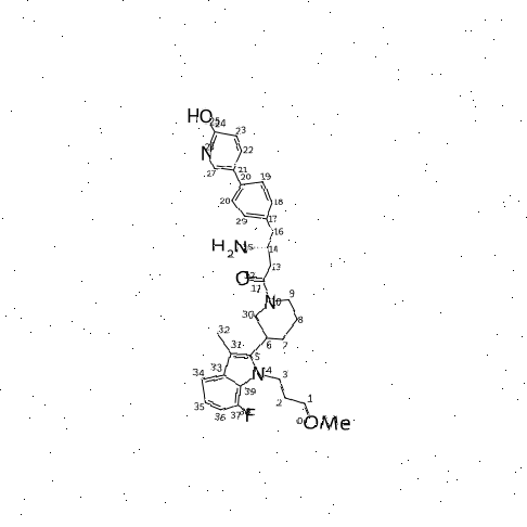 COCCCn1c(C2CCCN(C(=O)C[C@H](N)Cc3ccc(-c4ccc(O)nc4)cc3)C2)c(C)c2cccc(F)c21